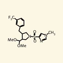 COC(OC)C1CN(S(=O)(=O)c2cn(C)cn2)CC1Cc1cccc(C(F)(F)F)c1